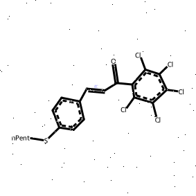 CCCCCSc1ccc(/C=C/C(=O)c2c(Cl)c(Cl)c(Cl)c(Cl)c2Cl)cc1